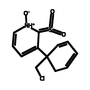 O=S(=O)=C1C(C2(CCl)C=CC=CC2)=CC=C[NH+]1[O-]